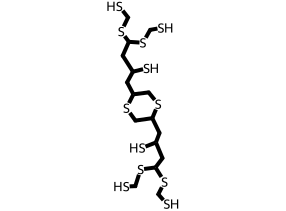 SCSC(CC(S)CC1CSC(CC(S)CC(SCS)SCS)CS1)SCS